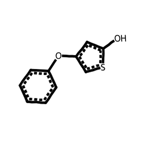 Oc1cc(Oc2ccccc2)cs1